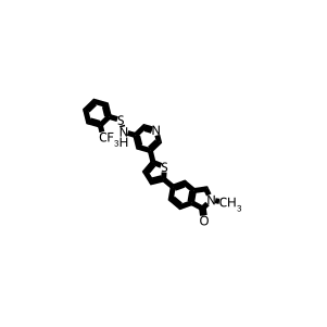 CN1Cc2cc(-c3ccc(-c4cncc(NSc5ccccc5C(F)(F)F)c4)s3)ccc2C1=O